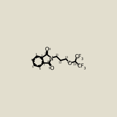 O=C1c2ccccc2C(=O)N1CCCOC(C(F)(F)F)C(F)(F)F